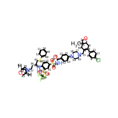 C[C@@]1(C=O)CCC(c2ccc(Cl)cc2)=C(CN2CCN(c3ccc(C(=O)NS(=O)(=O)c4ccc(N[C@H](CCN5C[C@H]6C[C@@H]5CO6)CSc5ccccc5)c(S(=O)(=O)C(F)(F)F)c4)cc3)CC2)C1